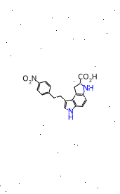 O=C(O)C1Cc2c(ccc3[nH]cc(CCc4ccc([N+](=O)[O-])cc4)c23)N1